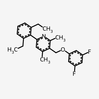 CCc1cccc(CC)c1-c1cc(C)c(COc2cc(F)cc(F)c2)c(C)n1